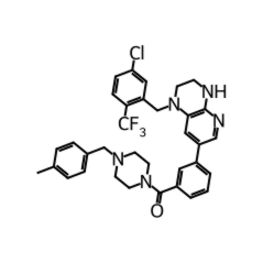 Cc1ccc(CN2CCN(C(=O)c3cccc(-c4cnc5c(c4)N(Cc4cc(Cl)ccc4C(F)(F)F)CCN5)c3)CC2)cc1